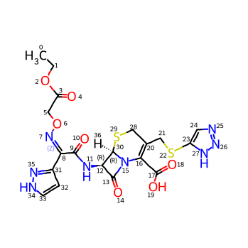 CCOC(=O)CO/N=C(\C(=O)N[C@@H]1C(=O)N2C(C(=O)O)=C(CSc3cnn[nH]3)CS[C@H]12)c1cc[nH]n1